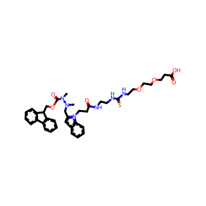 CN(Cc1cc2ccccc2n1CCC(=O)NCCNC(=S)NCCOCCOCCC(=O)O)N(C)C(=O)OCC1c2ccccc2-c2ccccc21